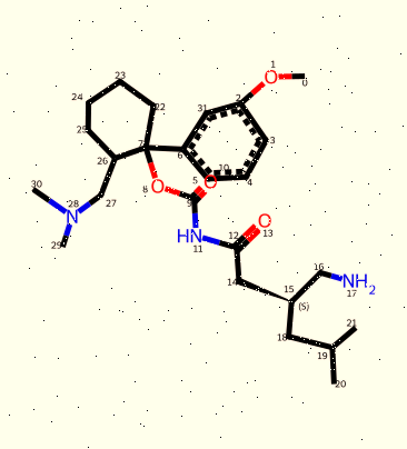 COc1cccc(C2(OC(=O)NC(=O)C[C@@H](CN)CC(C)C)CCCCC2CN(C)C)c1